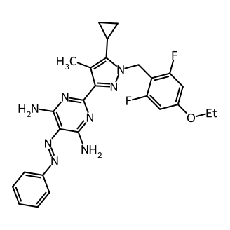 CCOc1cc(F)c(Cn2nc(-c3nc(N)c(N=Nc4ccccc4)c(N)n3)c(C)c2C2CC2)c(F)c1